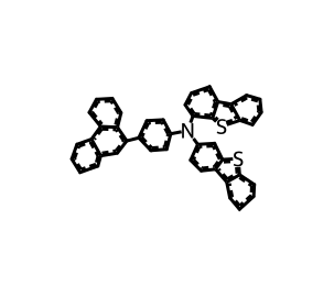 c1ccc2c(c1)cc(-c1ccc(N(c3ccc4c(c3)sc3ccccc34)c3cccc4c3sc3ccccc34)cc1)c1ccccc12